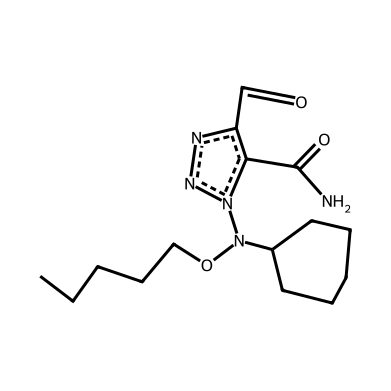 CCCCCON(C1CCCCC1)n1nnc(C=O)c1C(N)=O